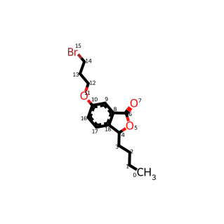 CCCCC1OC(=O)c2cc(OCCCBr)ccc21